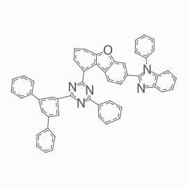 c1ccc(-c2cc(-c3ccccc3)cc(-c3nc(-c4ccccc4)nc(-c4cccc5oc6cc(-c7nc8ccccc8n7-c7ccccc7)ccc6c45)n3)c2)cc1